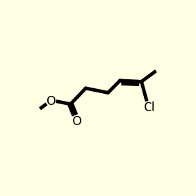 COC(=O)CCC=C(C)Cl